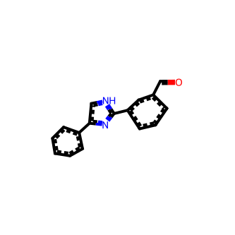 O=Cc1cccc(-c2nc(-c3ccccc3)c[nH]2)c1